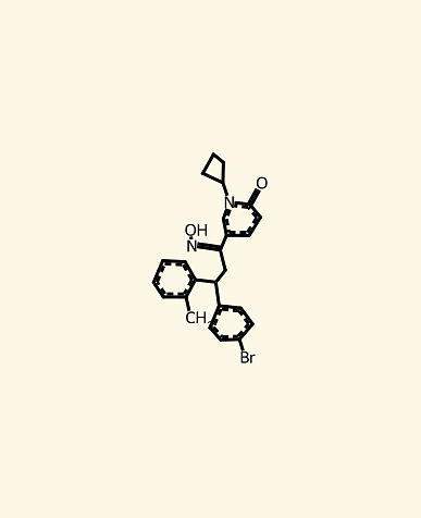 Cc1ccccc1C(C/C(=N/O)c1ccc(=O)n(C2CCC2)c1)c1ccc(Br)cc1